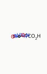 O=C(O)CN1CCCN(CC2CC(c3ccc(C=NN4CCOCC4)cc3)NO2)CC1